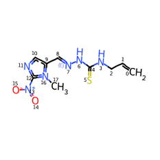 C=CCNC(=S)N/N=C/c1cnc([N+](=O)[O-])n1C